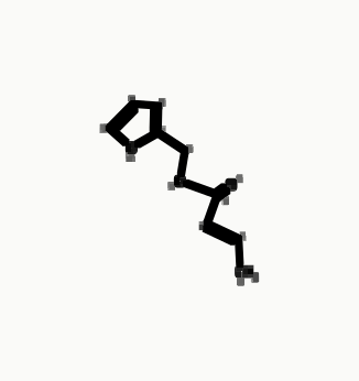 C/C=C/C(=O)OCc1ccco1